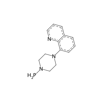 PN1CCN(c2cccc3cccnc23)CC1